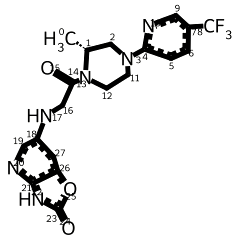 C[C@@H]1CN(c2ccc(C(F)(F)F)cn2)CCN1C(=O)CNc1cnc2[nH]c(=O)oc2c1